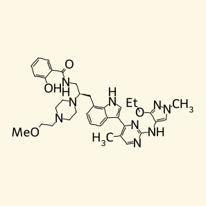 CCOc1nn(C)cc1Nc1ncc(C)c(-c2c[nH]c3c(C[C@H](CNC(=O)c4ccccc4O)N4CCN(CCOC)CC4)cccc23)n1